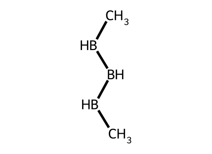 CBBBC